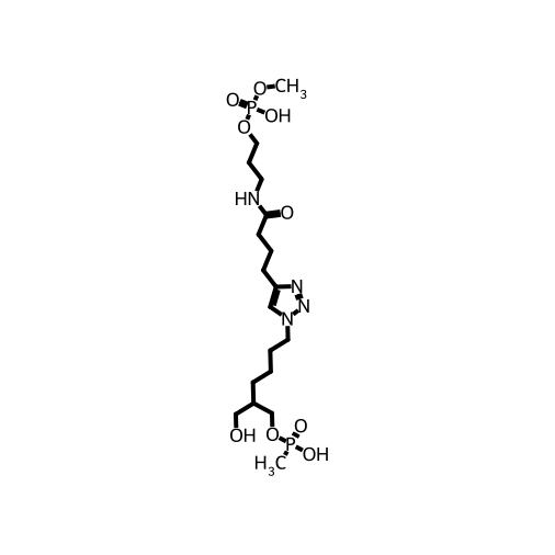 COP(=O)(O)OCCCNC(=O)CCCc1cn(CCCCC(CO)COP(C)(=O)O)nn1